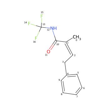 CC(=CCc1ccccc1)C(=O)NC(F)(F)F